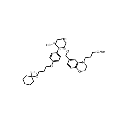 COCCCN1CCOc2ccc(CO[C@H]3CNC[C@@H](O)[C@@H]3c3ccc(OCCCOC4(C)CCCCC4)cc3)cc21